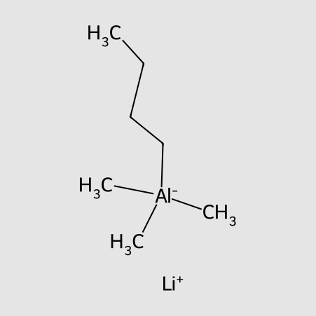 CCC[CH2][Al-]([CH3])([CH3])[CH3].[Li+]